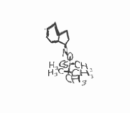 CC(C)(C)[Si](C)(C)O/N=C1\CCc2c[c]ccc21